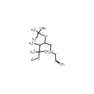 C=CCOCC(OC(C)(C)C(C)(C)C)C(C)C(C)(C)OCC